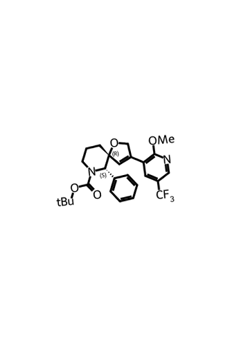 COc1ncc(C(F)(F)F)cc1C1=C[C@@]2(CCCN(C(=O)OC(C)(C)C)[C@H]2c2ccccc2)OC1